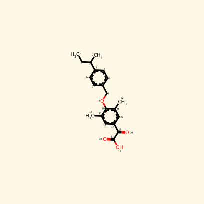 CCC(C)c1ccc(COc2c(C)cc(C(=O)C(=O)O)cc2C)cc1